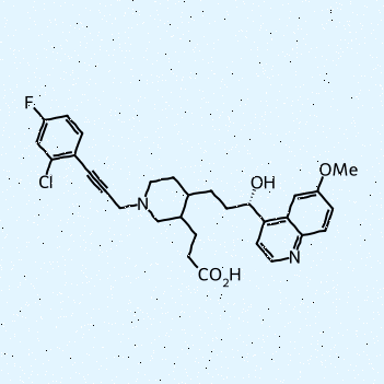 COc1ccc2nccc([C@@H](O)CCC3CCN(CC#Cc4ccc(F)cc4Cl)CC3CCC(=O)O)c2c1